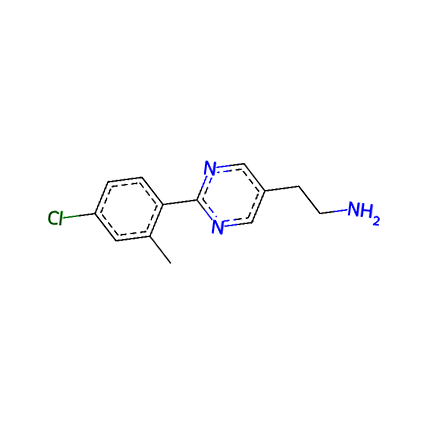 Cc1cc(Cl)ccc1-c1ncc(CCN)cn1